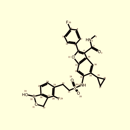 CNC(=O)c1c(-c2ccc(F)cc2)oc2cc(NS(=O)(=O)CCc3ccc4c(c3F)COB4O)c(C3CC3)cc12